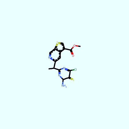 COC(=O)c1csc2cnc(C(C)C3=NC(N)C(=S)C(Cl)=N3)cc12